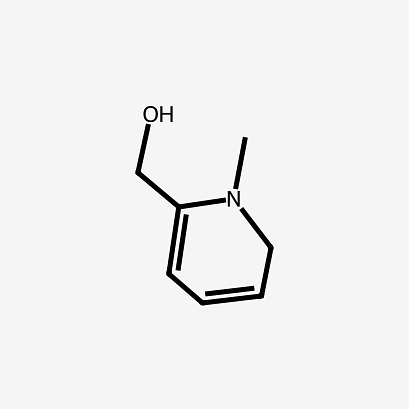 CN1CC=CC=C1CO